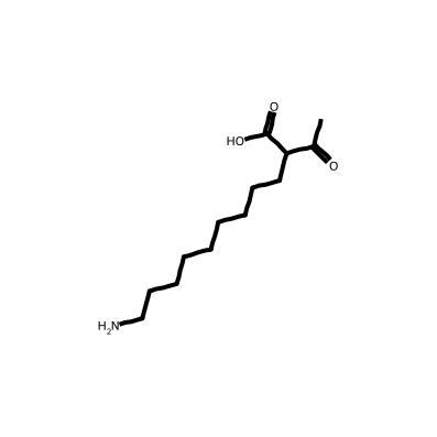 CC(=O)C(CCCCCCCCCN)C(=O)O